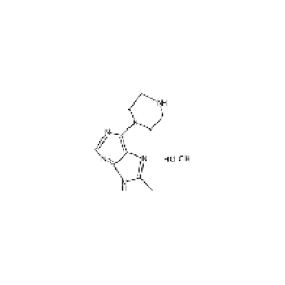 Cc1nc2c(N3CCNCC3)ncnc2[nH]1.Cl.Cl